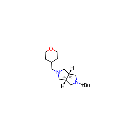 CC(C)(C)N1C[C@H]2CN(CC3CCOCC3)C[C@H]2C1